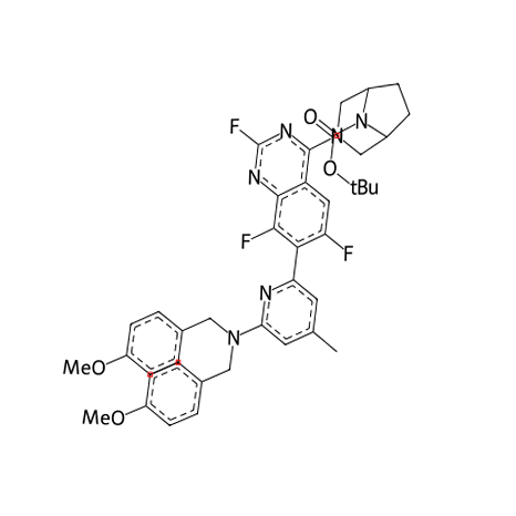 COc1ccc(CN(Cc2ccc(OC)cc2)c2cc(C)cc(-c3c(F)cc4c(N5CC6CCC(C5)N6C(=O)OC(C)(C)C)nc(F)nc4c3F)n2)cc1